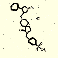 CC(=O)N1CC(CN2CCC3(CC2)CCN(Cc2ccc(S(C)(=O)=O)cc2)C3=O)C(c2ccccc2)C1.Cl